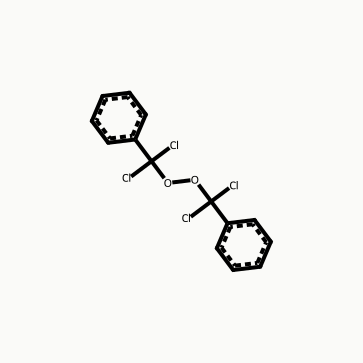 ClC(Cl)(OOC(Cl)(Cl)c1ccccc1)c1ccccc1